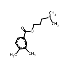 Cc1ccc(C(=O)OCCCN(C)C)cc1C